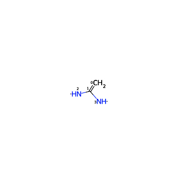 C=C([NH])[NH]